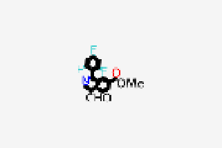 COC(=O)c1ccc2c(C=O)cnc(-c3c(F)cc(F)cc3F)c2c1